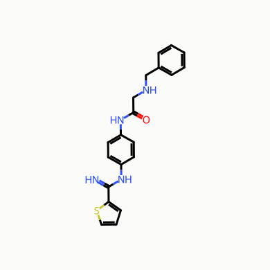 N=C(Nc1ccc(NC(=O)CNCc2ccccc2)cc1)c1cccs1